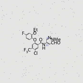 CCOc1cc(F)ccc1Oc1cc(C(F)(F)F)c(Cl)cc1C(=O)NC(/C=N\NC)=C/C=O